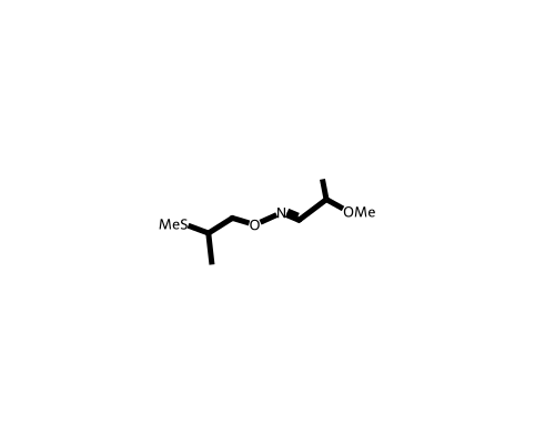 COC(C)/C=N/OCC(C)SC